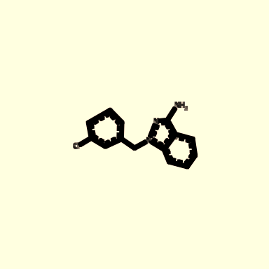 Nc1nn(Cc2cccc(Cl)c2)c2ccccc12